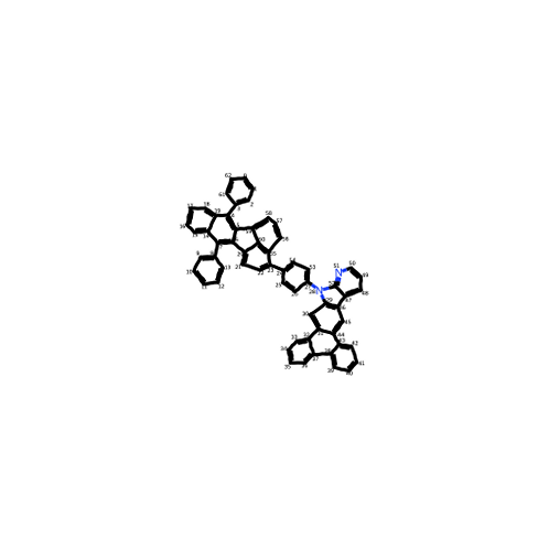 c1ccc(-c2c3c(c(-c4ccccc4)c4ccccc24)-c2ccc(-c4ccc(-n5c6cc7c8ccccc8c8ccccc8c7cc6c6cccnc65)cc4)c4cccc-3c24)cc1